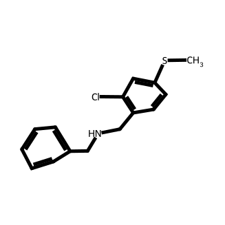 CSc1ccc(CNCc2ccccc2)c(Cl)c1